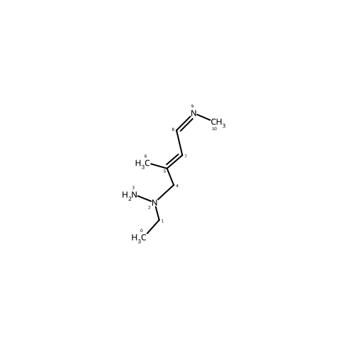 CCN(N)C/C(C)=C/C=N\C